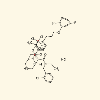 CCN(Cc1ccccc1Cl)C(=O)C1=C(c2ccc(CCCOc3cc(F)ccc3Br)cc2)CC2CNC[C@H]1N2C(=O)OC(C)(C)C(Cl)(Cl)Cl.Cl